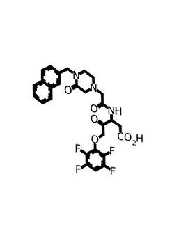 O=C(O)CC(NC(=O)CN1CCN(Cc2ccc3ccccc3c2)C(=O)C1)C(=O)COc1c(F)c(F)cc(F)c1F